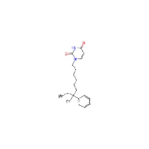 CCC(CCCCCCn1ccc(=O)[nH]c1=O)(CC(C)C)c1ccccc1